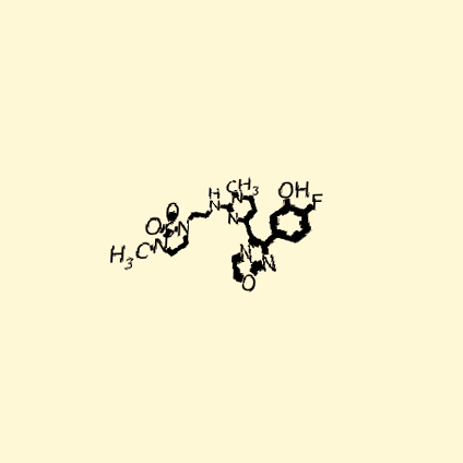 CN1CC=C(c2c(-c3ccc(F)c(O)c3)nc3occn23)N=C1NCCN1CCN(C)S1(=O)=O